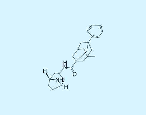 CC12CC3CC(C(=O)NC4C[C@H]5CC[C@H](C4)N5)(C1)CC(c1ccccc1)(C3)C2